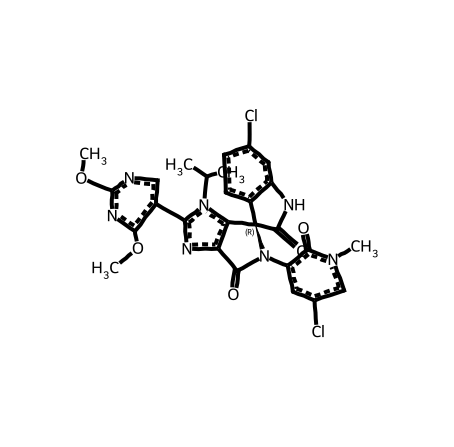 COc1ncc(-c2nc3c(n2C(C)C)[C@]2(C(=O)Nc4cc(Cl)ccc42)N(c2cc(Cl)cn(C)c2=O)C3=O)c(OC)n1